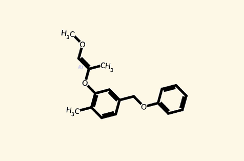 CO/C=C(\C)Oc1cc(COc2ccccc2)ccc1C